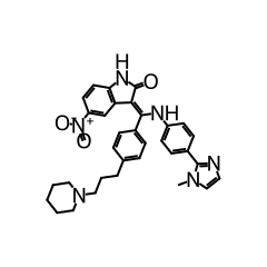 Cn1ccnc1-c1ccc(N/C(=C2\C(=O)Nc3ccc([N+](=O)[O-])cc32)c2ccc(CCCN3CCCCC3)cc2)cc1